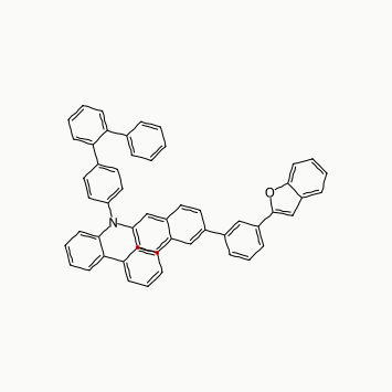 c1ccc(-c2ccccc2-c2ccc(N(c3ccc4cc(-c5cccc(-c6cc7ccccc7o6)c5)ccc4c3)c3ccccc3-c3ccccc3)cc2)cc1